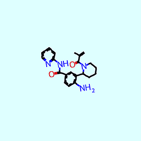 C=C(C)C(=O)N1CCCCC1c1cc(C(=O)Nc2ccccn2)ccc1N